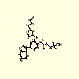 CC(C)(O)C(F)CNC(=O)c1cnc(-c2cnc3cc(Cl)cnn23)cc1Nc1cnn(CCCF)c1